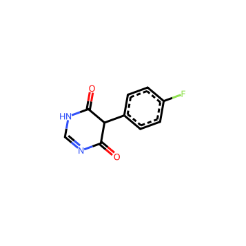 O=C1N=CNC(=O)C1c1ccc(F)cc1